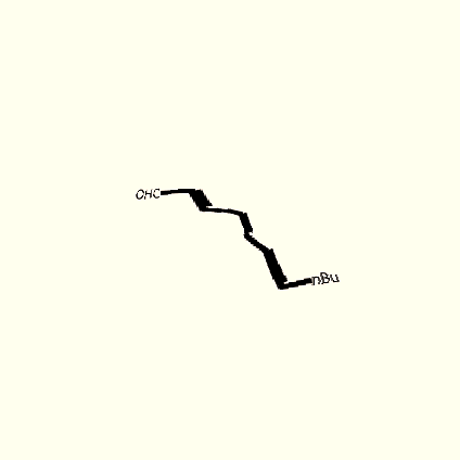 CCCCC=CC=CC=CC=O